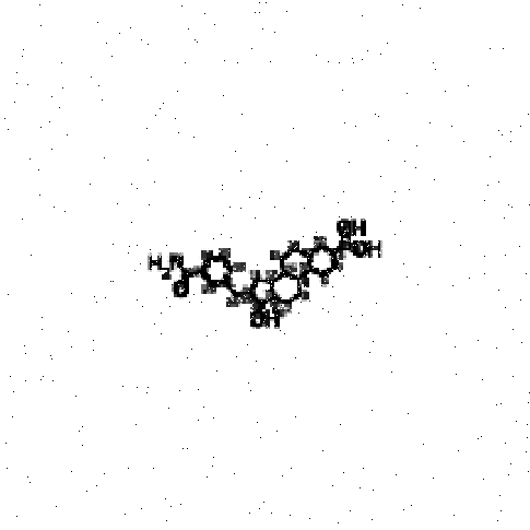 C[C@]12CCC3c4ccc(B(O)O)cc4CCC3C1C[C@H](Cc1cccc(C(N)=O)c1)[C@@H]2O